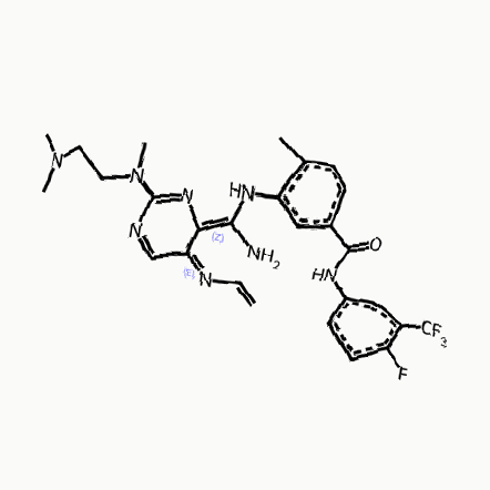 C=C/N=C1/C=NC(N(C)CCN(C)C)=N/C1=C(/N)Nc1cc(C(=O)Nc2ccc(F)c(C(F)(F)F)c2)ccc1C